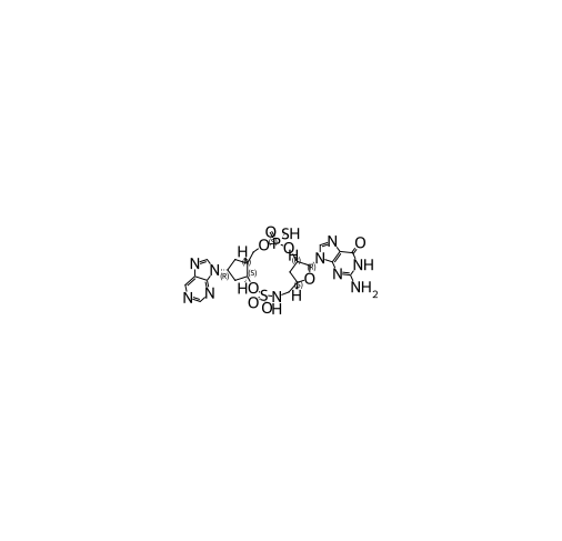 Nc1nc2c(ncn2[C@@H]2O[C@@H]3CNS(=O)(=O)O[C@H]4C[C@H](n5cnc6cncnc65)C[C@@H]4CO[P@](=O)(S)O[C@@H]2C3)c(=O)[nH]1